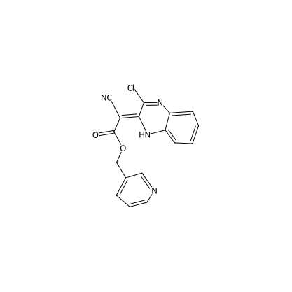 N#CC(C(=O)OCc1cccnc1)=C1Nc2ccccc2N=C1Cl